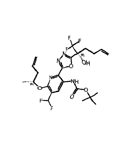 C=CCC[C@@](O)(c1nnc(-c2nc(O[C@H](C)CC=C)c(C(F)F)cc2NC(=O)OC(C)(C)C)o1)C(F)(F)F